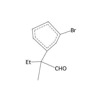 CCC(C)(C=O)c1cccc(Br)c1